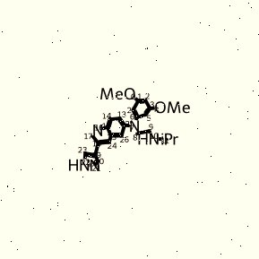 COc1cc(OC)cc(N(CCNC(C)C)c2ccc3ncc(-c4cn[nH]c4)cc3c2)c1